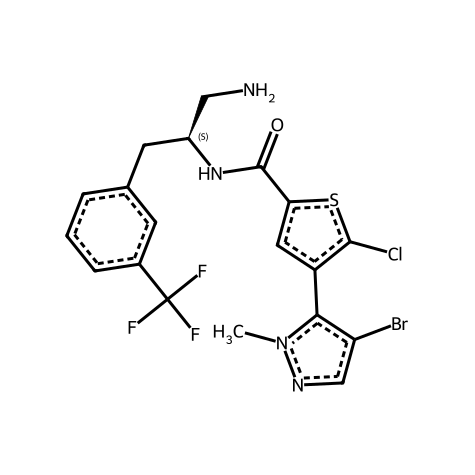 Cn1ncc(Br)c1-c1cc(C(=O)N[C@H](CN)Cc2cccc(C(F)(F)F)c2)sc1Cl